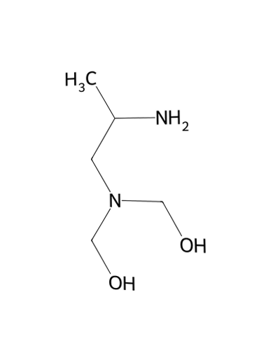 CC(N)CN(CO)CO